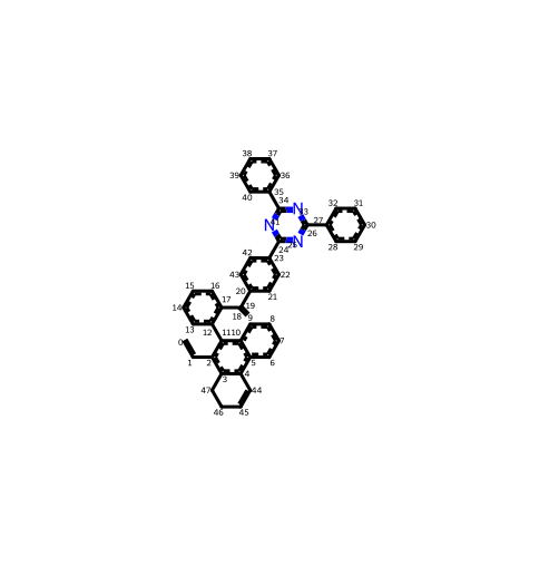 C=Cc1c2c(c3ccccc3c1-c1ccccc1C(=C)c1ccc(-c3nc(-c4ccccc4)nc(-c4ccccc4)n3)cc1)C=CCC2